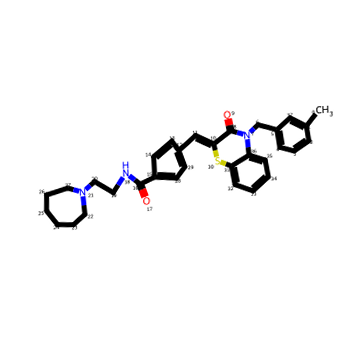 Cc1cccc(CN2C(=O)/C(=C/c3ccc(C(=O)NCCN4CCCCCC4)cc3)Sc3ccccc32)c1